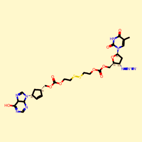 Cc1cn([C@H]2C[C@H](N=[N+]=[N-])[C@@H](COC(=O)OCCSSCCOC(=O)OC[C@@H]3C=C[C@H](N4C=NC5C(O)=NC=NC54)C3)O2)c(=O)[nH]c1=O